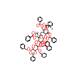 COC[C@@H](OC(=O)c1ccccc1)C(OC1OC(COC(=O)c2ccccc2)C(OC2OC(COCc3ccccc3)C(OC(=O)c3ccccc3)C(OCc3ccccc3)C2OCc2ccccc2)C(O)C1OCc1ccccc1)C(C)[C@@H](COC(=O)c1ccccc1)OC(=O)c1ccccc1